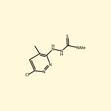 CNC(=S)NNc1nnc(Cl)cc1C